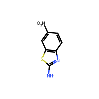 [NH]c1nc2ccc([N+](=O)[O-])cc2s1